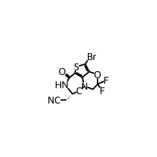 N#CC[C@H]1CN2CC(F)(F)Oc3c(Br)sc(c32)C(=O)N1